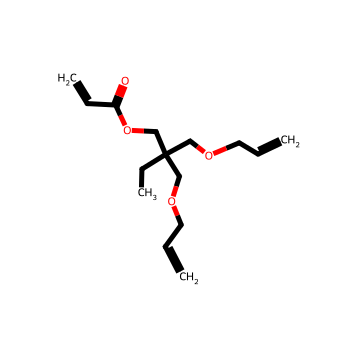 C=CCOCC(CC)(COCC=C)COC(=O)C=C